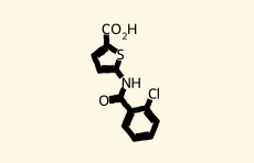 O=C(O)c1ccc(NC(=O)c2ccccc2Cl)s1